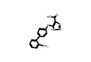 Cc1ccccc1-c1ccc(Oc2[nH]nnc2C(=O)O)cc1